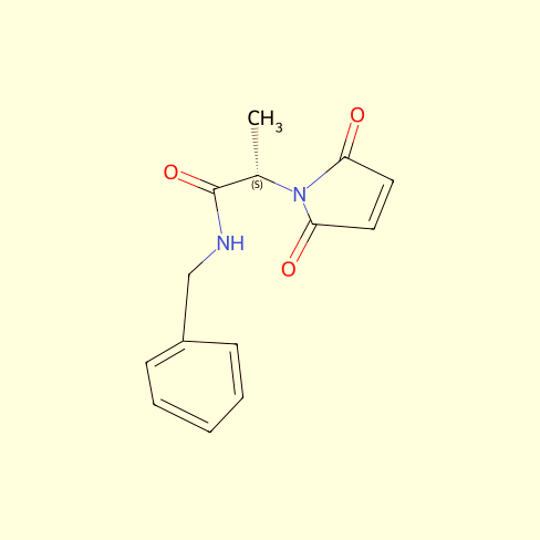 C[C@@H](C(=O)NCc1ccccc1)N1C(=O)C=CC1=O